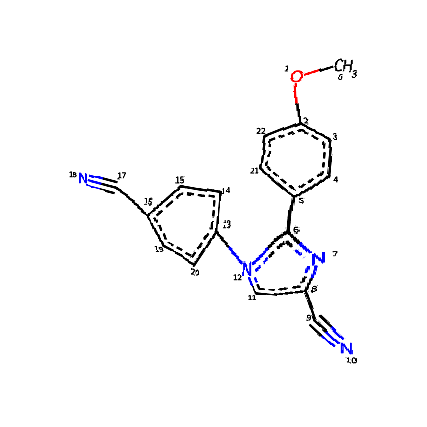 COc1ccc(-c2nc(C#N)cn2-c2ccc(C#N)cc2)cc1